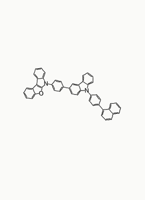 c1ccc2c(-c3ccc(-n4c5ccccc5c5cc(-c6ccc(-n7c8ccccc8c8c9ccccc9oc87)cc6)ccc54)cc3)cccc2c1